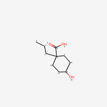 CCCC1(C(=O)O)CCC(O)CC1